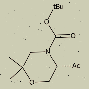 CC(=O)[C@@H]1COC(C)(C)CN1C(=O)OC(C)(C)C